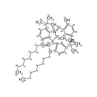 CCCCCCCCOc1ccc(C(C)(C)C)cc1C(O)(c1cc(C(C)(C)C)ccc1OCCCCCCCC)C(C)N=Cc1cc(Cl)ccc1O